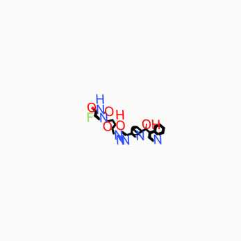 O=c1[nH]c(=O)n(C2CC(O)C(Cn3cc(C4C[N@@]5CCC4CC5[C@@H](O)c4ccnc5ccccc45)nn3)O2)cc1F